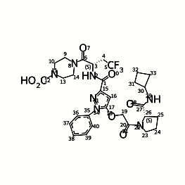 O=C(N[C@@H](CC(F)(F)F)C(=O)N1CCN(C(=O)O)CC1)c1cc(OCC(=O)N2CCC[C@H]2C(=O)NC2CCC2)n(-c2ccccc2)n1